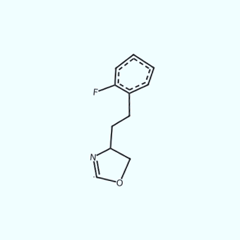 Fc1ccccc1CCC1CO[C]=N1